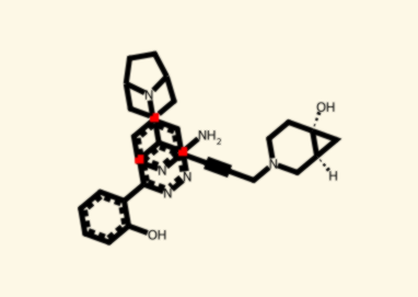 Nc1nnc(-c2ccccc2O)cc1N1CC2CCC(C1)N2c1ccnc(C#CCN2CC[C@@]3(O)C[C@H]3C2)c1